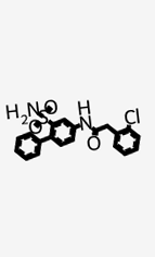 NS(=O)(=O)c1cc(NC(=O)Cc2ccccc2Cl)ccc1-c1ccccc1